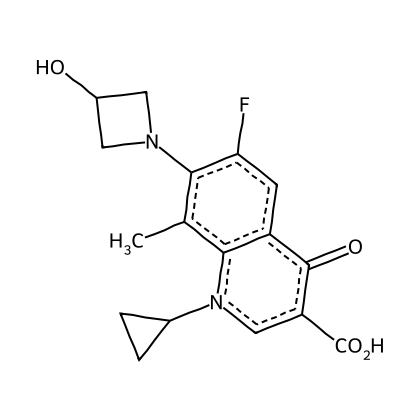 Cc1c(N2CC(O)C2)c(F)cc2c(=O)c(C(=O)O)cn(C3CC3)c12